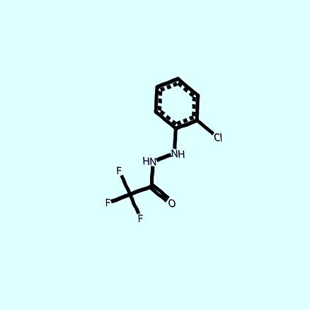 O=C(NNc1ccccc1Cl)C(F)(F)F